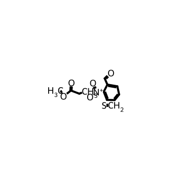 C=S.CCC(=O)OC.O=Cc1ccccc1[N+](=O)[O-]